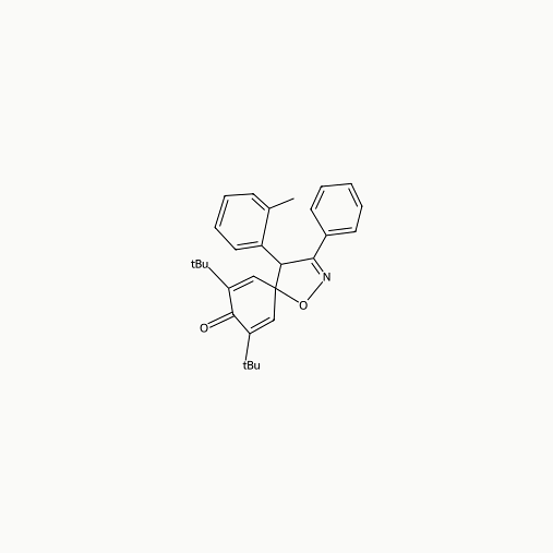 Cc1ccccc1C1C(c2ccccc2)=NOC12C=C(C(C)(C)C)C(=O)C(C(C)(C)C)=C2